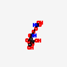 O=C(O)NCCOCCOCCNC(=O)c1ccc2c(c1)C(=O)OC21c2ccc(O)cc2Oc2cc(O)ccc21